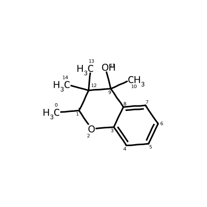 C[C]1Oc2ccccc2C(C)(O)C1(C)C